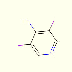 Nc1c(I)cncc1I